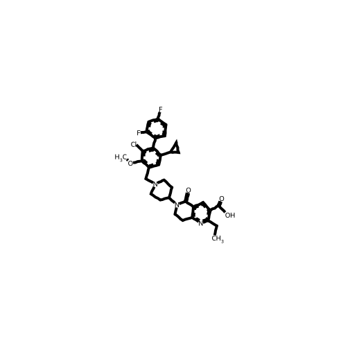 CCc1nc2c(cc1C(=O)O)C(=O)N(C1CCN(Cc3cc(C4CC4)c(-c4ccc(F)cc4F)c(Cl)c3OC)CC1)CC2